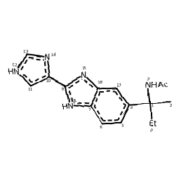 CCC(C)(NC(C)=O)c1ccc2[nH]c(-c3c[nH]cn3)nc2c1